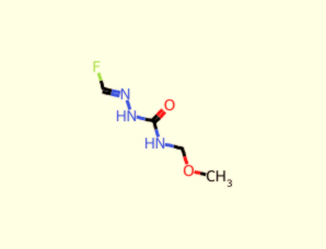 COCNC(=O)NN=CF